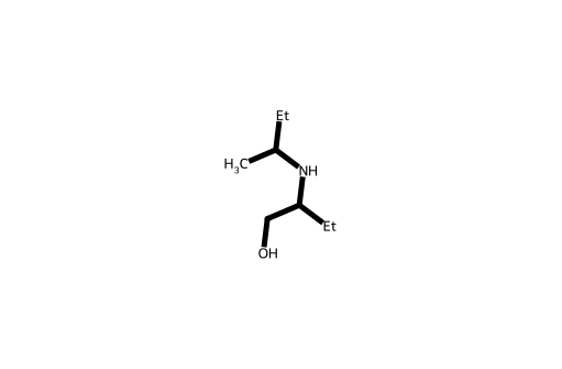 CCC(C)NC(CC)CO